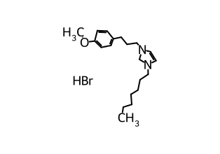 Br.CCCCCCCN1C=CN(CCCc2ccc(OC)cc2)C1